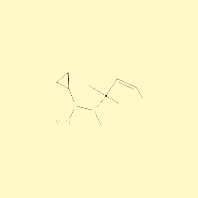 C/C=C\C(C)(C)N(C)N(NC)C1CC1